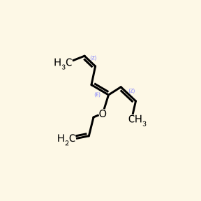 C=CCOC(/C=C\C)=C/C=C\C